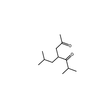 CC(=O)CC(CC(C)C)C(=O)C(C)C